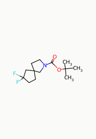 CC(C)(C)OC(=O)N1CCC2(CCC(F)(F)C2)C1